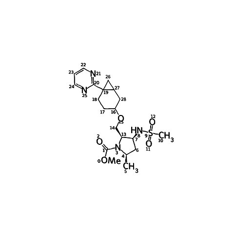 COC(=O)N1[C@H](C)C[C@H](NS(C)(=O)=O)[C@@H]1COC1CCC2(c3ncccn3)CC2C1